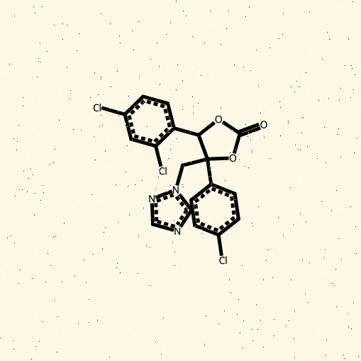 O=C1OC(c2ccc(Cl)cc2Cl)C(Cn2cncn2)(c2ccc(Cl)cc2)O1